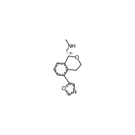 CNC[C@@H]1OCCc2c(-c3cnco3)cccc21